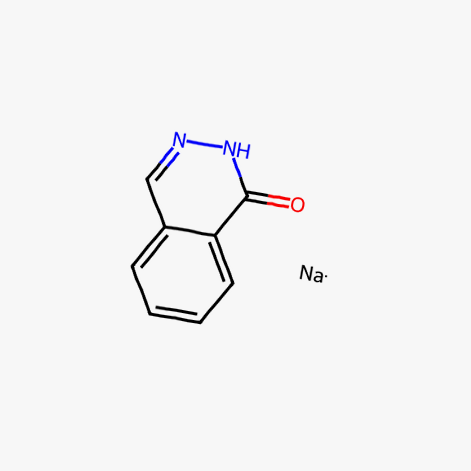 O=c1[nH]ncc2ccccc12.[Na]